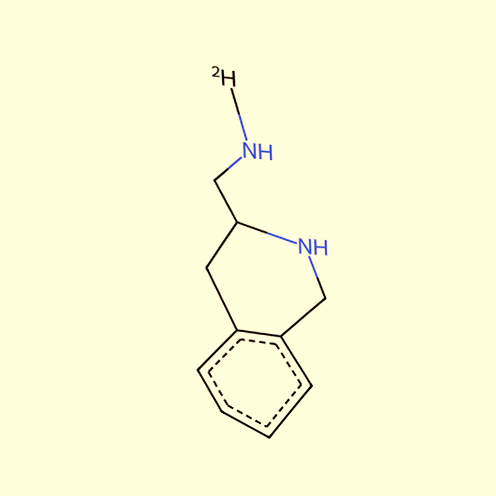 [2H]NCC1Cc2ccccc2CN1